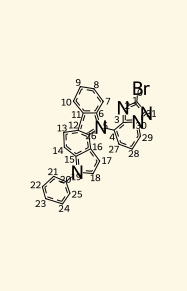 Brc1nc2c(-n3c4ccccc4c4ccc5c(ccn5-c5ccccc5)c43)cccn2n1